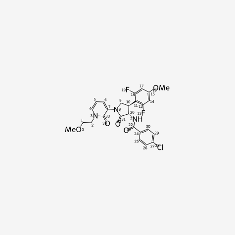 COCCn1cccc(N2C[C@@H](c3c(F)cc(OC)cc3F)[C@H](NC(=O)c3ccc(Cl)cc3)C2=O)c1=O